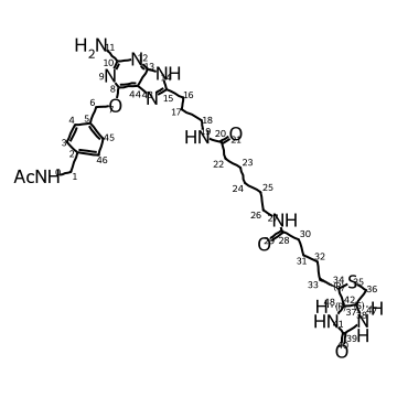 CC(=O)NCc1ccc(COc2nc(N)nc3[nH]c(CCCNC(=O)CCCCCNC(=O)CCCC[C@H]4SC[C@H]5NC(=O)N[C@H]54)nc23)cc1